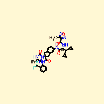 Cc1nonc1C(=O)N[C@H](C(=O)Nc1ccc2c(c1)CC(C(=O)Nc1ccccc1C(F)F)(N1C[C@@H](C(C)C)NC1=O)C2)C(C1CC1)C1CC1